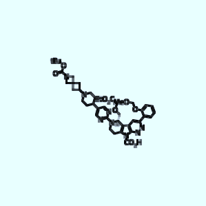 CCOC(=O)COC[C@@H]1c2c(n(C(=O)O)c3nnc(-c4ccccc4OCOC)cc23)CCN1c1ncc(C2CCN(C3CC4(C3)CN(C(=O)OC(C)(C)C)C4)CC2)cn1